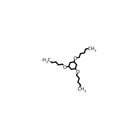 CCCCCOC1CC(OCCCCC)CC(OCCCCC)C1